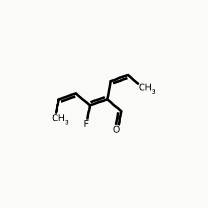 C\C=C/C(F)=C(C=O)\C=C/C